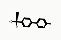 C#CC(O)(CC)c1ccc(-c2ccc(F)cc2)cc1